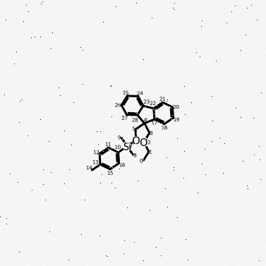 CCOCC1(CO[Si](C)(C)c2ccc(C)cc2)c2ccccc2-c2ccccc21